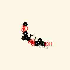 CC(c1ccccc1)(c1ccc(O)cc1)c1ccc(OC(=O)Oc2ccc(C(C)(c3ccccc3)c3ccc(OC(=O)Oc4ccccc4)cc3)cc2)cc1